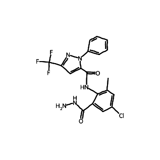 Cc1cc(Cl)cc(C(=O)NN)c1NC(=O)c1cc(C(F)(F)F)nn1-c1ccccc1